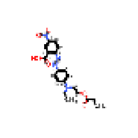 C=CC(=O)OCCN(CC)c1ccc(/N=N/c2ccc([N+](=O)[O-])cc2C(=O)O)cc1